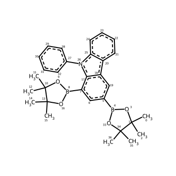 CC1(C)OB(c2cc(B3OC(C)(C)C(C)(C)O3)c3c(c2)c2ccccc2n3-c2ccccc2)OC1(C)C